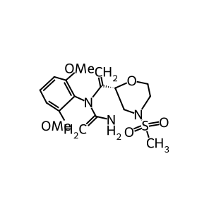 C=C(N)N(C(=C)[C@H]1CN(S(C)(=O)=O)CCO1)c1c(OC)cccc1OC